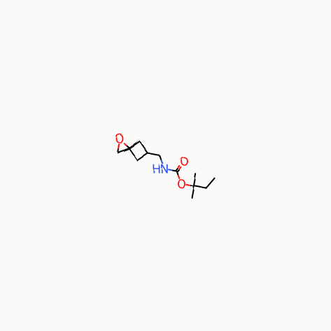 CCC(C)(C)OC(=O)NCC1CC2(CO2)C1